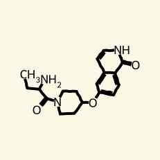 CCC(N)C(=O)N1CCC(Oc2ccc3c(=O)[nH]ccc3c2)CC1